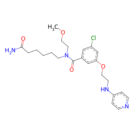 COCCN(CCCCCC(N)=O)C(=O)c1cc(Cl)cc(OCCNc2ccncc2)c1